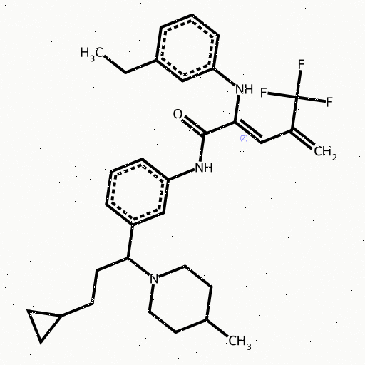 C=C(/C=C(\Nc1cccc(CC)c1)C(=O)Nc1cccc(C(CCC2CC2)N2CCC(C)CC2)c1)C(F)(F)F